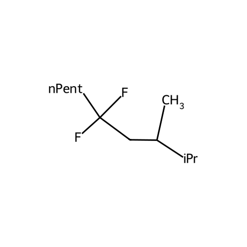 CCCCCC(F)(F)CC(C)C(C)C